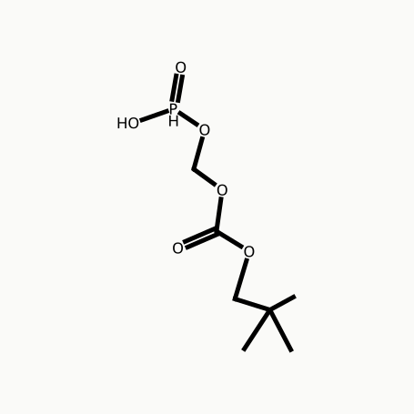 CC(C)(C)COC(=O)OCO[PH](=O)O